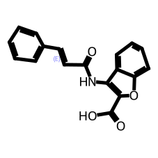 O=C(/C=C/c1ccccc1)Nc1c(C(=O)O)oc2ccccc12